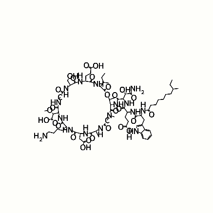 CCC(C)CCCCCCC(=O)NC(Cc1c[nH]c2ccccc12)C(=O)NC(CCC(=O)O)C(=O)NC(C(=O)NC1C(=O)N(C)CC(=O)NC(C)C(=O)NC(CC(=O)O)C(=O)NC(CCCCN)C(=O)NC(C(OC)C(=O)O)C(=O)NCC(=O)NC(CO)C(=O)NC(CCC(=O)O)C(=O)NC(C(C)CC)C(=O)OC1C)C(O)C(N)=O